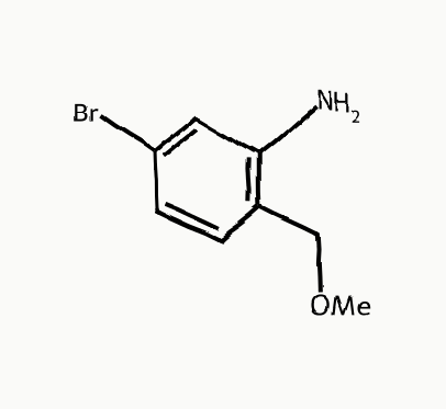 COCc1ccc(Br)cc1N